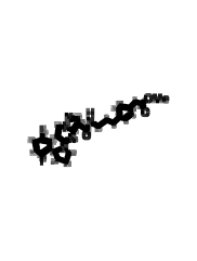 COC(=O)Cc1ccc(CCCNC(=O)c2cnn3ccc(N4CCC[C@@H]4c4cc(F)ccc4F)nc23)cc1